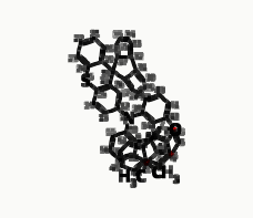 CC1(C)c2ccccc2-c2c(N(c3ccc4c(c3)C3(c5ccccc5S4)c4ccccc4-c4ccccc43)c3cccc4oc5ccc6ccccc6c5c34)cccc21